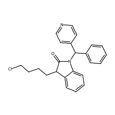 O=C1C(CCCCCl)c2ccccc2N1C(c1ccccc1)c1ccncc1